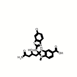 CN1c2ccc(C(=O)O)cc2NC1(CC(O)CC(N)=O)Nc1nc2ccc(Cl)cc2s1